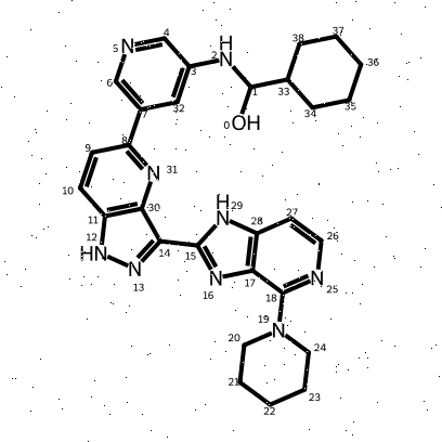 OC(Nc1cncc(-c2ccc3[nH]nc(-c4nc5c(N6CCCCC6)nccc5[nH]4)c3n2)c1)C1CCCCC1